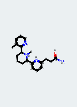 Cc1cccnc1C1CCCC(c2cccc(CCC(N)=O)n2)N1C